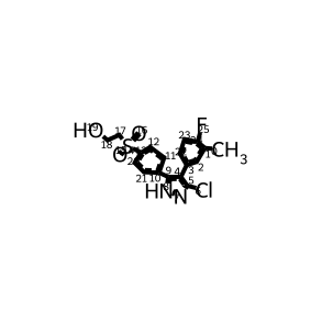 Cc1cc(-c2c(Cl)n[nH]c2-c2ccc(S(=O)(=O)CCO)cc2)ccc1F